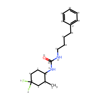 CC1CC(F)(F)CCC1NC(=O)NCCCCc1ccccc1